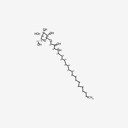 CCCCCCCCCCCCCCCCCCNCC(O)CO[C@H]1O[C@H](CO)[C@H](O)[C@H](O)[C@H]1O